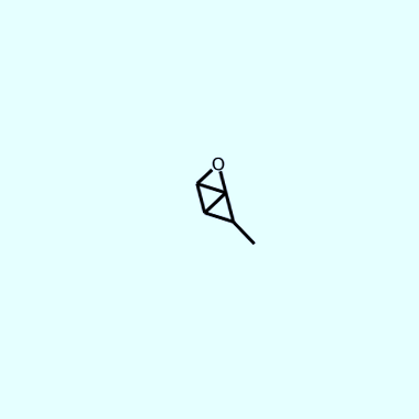 CC1C2C3OC132